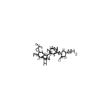 CC(C)Oc1cc2c(-c3cc(N4C[C@H](N)CC4C)ncn3)n[nH]c2cc1F